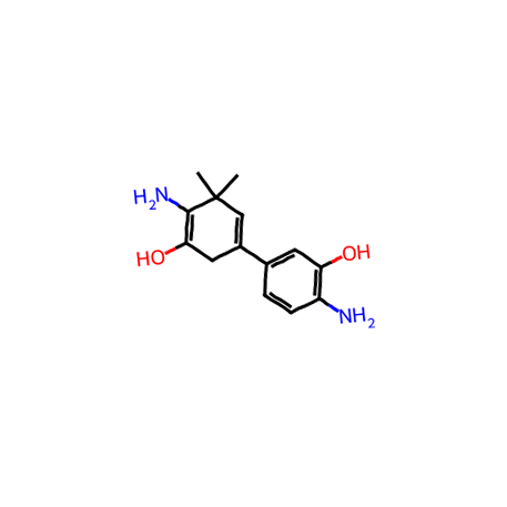 CC1(C)C=C(c2ccc(N)c(O)c2)CC(O)=C1N